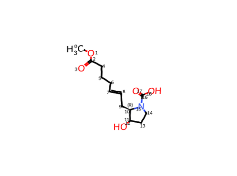 COC(=O)CCCC=CC[C@@H]1C(O)CCN1C(=O)O